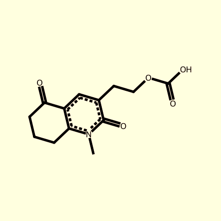 Cn1c2c(cc(CCOC(=O)O)c1=O)C(=O)CCC2